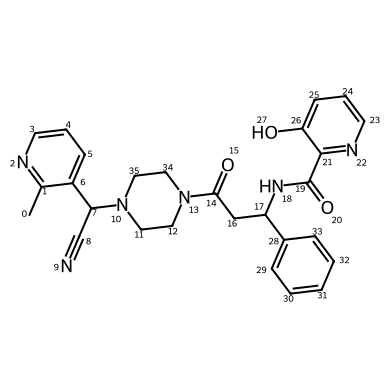 Cc1ncccc1C(C#N)N1CCN(C(=O)CC(NC(=O)c2ncccc2O)c2ccccc2)CC1